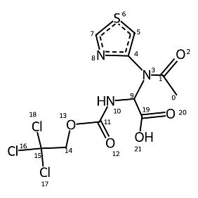 CC(=O)N(c1cscn1)C(NC(=O)OCC(Cl)(Cl)Cl)C(=O)O